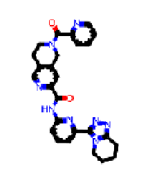 O=C(Nc1cccc(-c2nnc3n2CCCC3)n1)c1cc2c(cn1)CCN(C(=O)c1ccccn1)C2